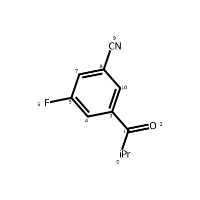 CC(C)C(=O)c1cc(F)cc(C#N)c1